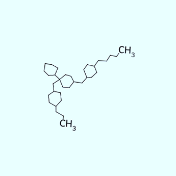 CCCCCC1CCC(CC2CCC(CC3CCC(CCC)CC3)(C3CCCCC3)CC2)CC1